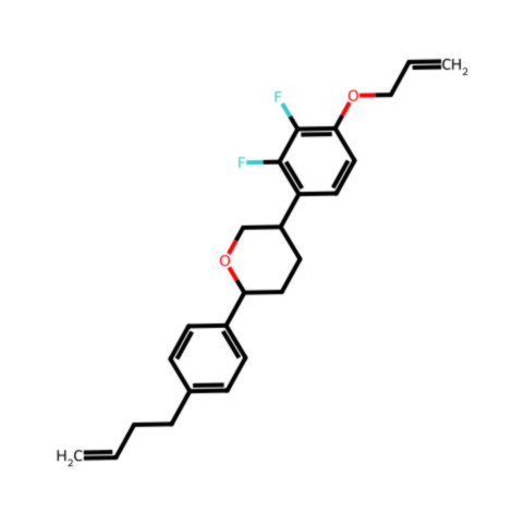 C=CCCc1ccc(C2CCC(c3ccc(OCC=C)c(F)c3F)CO2)cc1